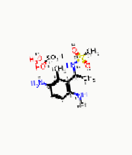 CCNc1ccc(N)c(C)c1C(C)NS(C)(=O)=O.O.O=S(=O)(O)O